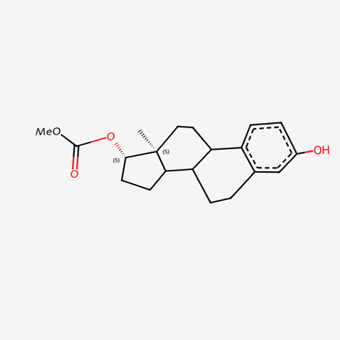 COC(=O)O[C@H]1CCC2C3CCc4cc(O)ccc4C3CC[C@@]21C